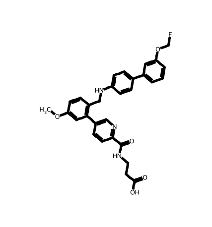 COc1ccc(CNc2ccc(-c3cccc(OCF)c3)cc2)c(-c2ccc(C(=O)NCCC(=O)O)nc2)c1